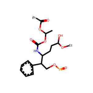 CCOC(O)CCC(NC(=O)OC(C)OC(=O)C(C)C)C(COP=O)c1ccccc1